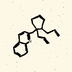 C=CCC1CCCCC1(CC=C)c1ccc2ccccc2n1